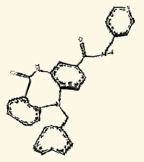 O=C(Nc1ccncc1)c1ccc2c(c1)NC(=O)c1ccccc1N2Cc1ccccc1